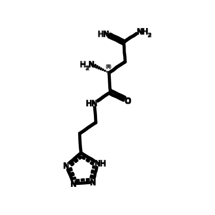 N=C(N)C[C@@H](N)C(=O)NCCc1nnn[nH]1